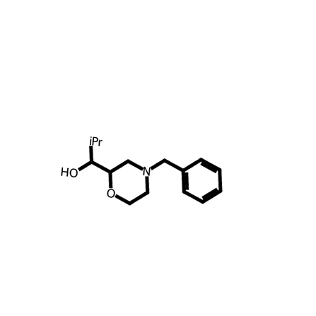 CC(C)C(O)C1CN(Cc2ccccc2)CCO1